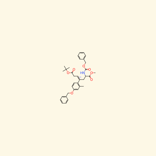 COC(=O)C(C/C(=C/CC(=O)OC(C)(C)C)c1ccc(OCc2ccccc2)cc1C)NC(=O)OCc1ccccc1